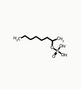 CCCCCCC(C)OP(=O)(O)O